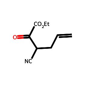 C=CCC(C#N)C(=O)C(=O)OCC